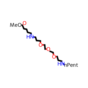 CCCCCNCCCOCCOCCOCCCNCCCCC(=O)OC